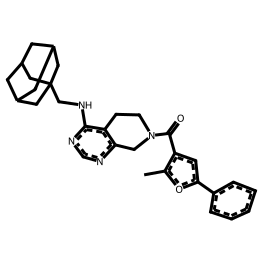 Cc1oc(-c2ccccc2)cc1C(=O)N1CCc2c(ncnc2NCC23CC4CC(CC(C4)C2)C3)C1